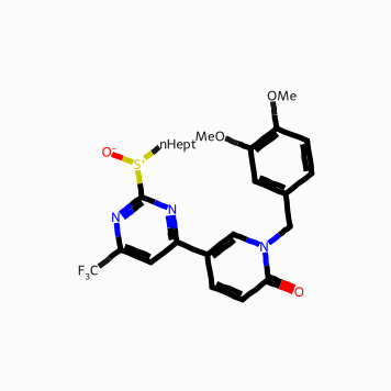 CCCCCCC[S+]([O-])c1nc(-c2ccc(=O)n(Cc3ccc(OC)c(OC)c3)c2)cc(C(F)(F)F)n1